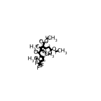 CCOC(=O)Cc1c(C(=O)OCC)c(C)c(C(=O)c2ccc(C(F)(F)F)n2C)n1C